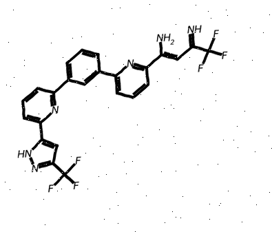 N=C(/C=C(\N)c1cccc(-c2cccc(-c3cccc(-c4cc(C(F)(F)F)n[nH]4)n3)c2)n1)C(F)(F)F